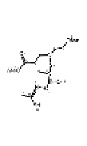 COCCN(CCC(=O)OC)SN(C)C(=O)ON=C(C)S